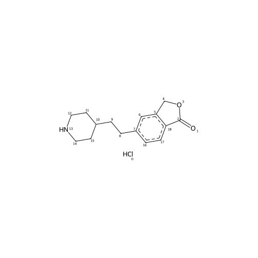 Cl.O=C1OCc2cc(CCC3CCNCC3)ccc21